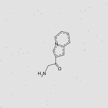 NCC(=O)c1cc2ccccn2c1